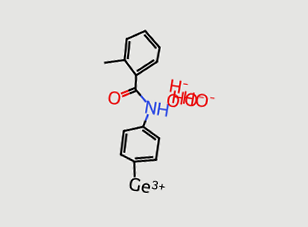 Cc1ccccc1C(=O)Nc1cc[c]([Ge+3])cc1.[OH-].[OH-].[OH-]